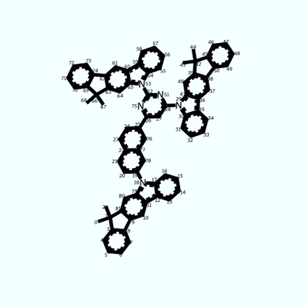 CC1(C)c2ccccc2-c2cc3c4ccccc4n(-c4ccc5ccc(-c6cc(-n7c8ccccc8c8cc9c(cc87)C(C)(C)c7ccccc7-9)nc(-n7c8ccccc8c8cc9c(cc87)C(C)(C)c7ccccc7-9)n6)cc5c4)c3cc21